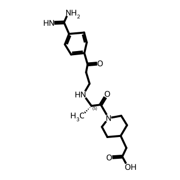 C[C@H](NCCC(=O)c1ccc(C(=N)N)cc1)C(=O)N1CCC(CC(=O)O)CC1